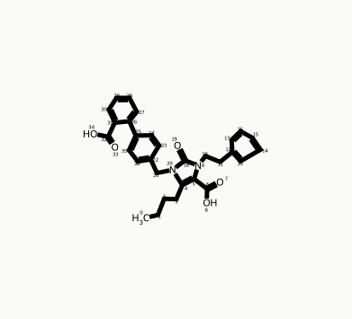 CCCCc1c(C(=O)O)n(CCc2ccccc2)c(=O)n1Cc1ccc(-c2ccccc2C(=O)O)cc1